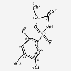 CC(C)(C)OC(=O)NS(=O)(=O)c1cc(Cl)c(Br)cc1F